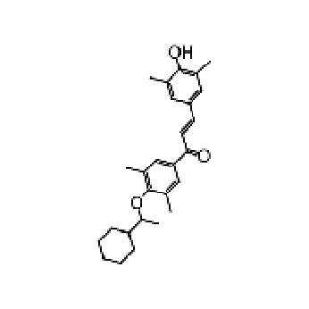 Cc1cc(C=CC(=O)c2cc(C)c(OC(C)C3CCCCC3)c(C)c2)cc(C)c1O